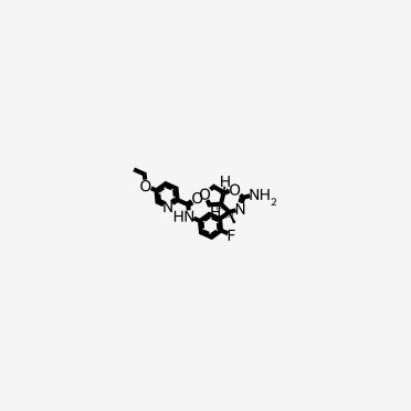 CCOc1ccc(C(=O)Nc2ccc(F)c([C@@]3(C)N=C(N)O[C@@H]4COC[C@@H]43)c2)nc1